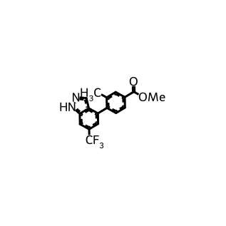 COC(=O)c1ccc(-c2cc(C(F)(F)F)cc3[nH]ncc23)c(C)c1